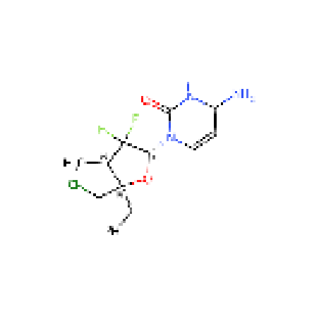 [3H]C[C@@]1(CCl)O[C@@H](N2C=CC(N)NC2=O)C(F)(F)[C@@H]1C